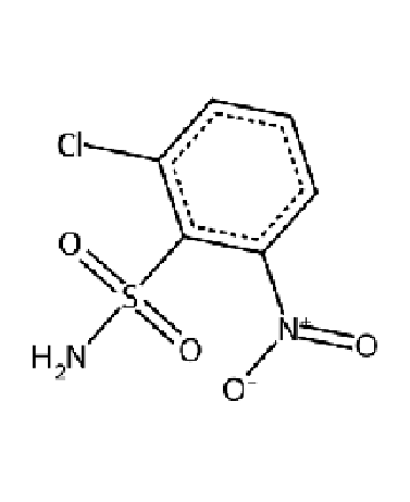 NS(=O)(=O)c1c(Cl)cccc1[N+](=O)[O-]